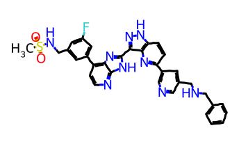 CS(=O)(=O)NCc1cc(F)cc(-c2ccnc3[nH]c(-c4n[nH]c5ccc(-c6cncc(CNCc7ccccc7)c6)nc45)nc23)c1